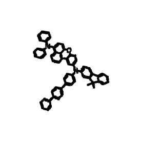 CC1(C)c2ccccc2-c2ccc(N(c3ccc(-c4ccc(-c5ccccc5)cc4)cc3)c3ccc4c(c3)-c3cccc5c(N(c6ccccc6)c6ccccc6)ccc(c35)O4)cc21